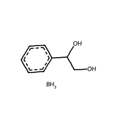 B.OCC(O)c1ccccc1